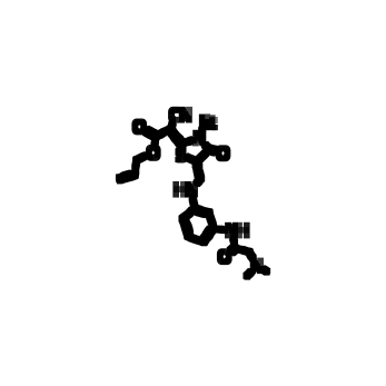 C=CCOC(=O)C(C#N)=c1sc(=CNc2cccc(NC(=O)CN(C)C)c2)c(=O)n1CC